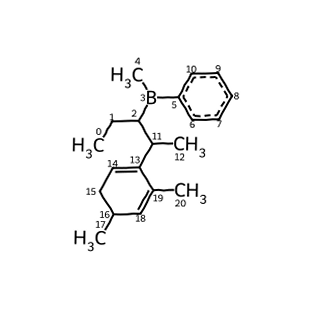 CCC(B(C)c1ccccc1)C(C)C1=CCC(C)C=C1C